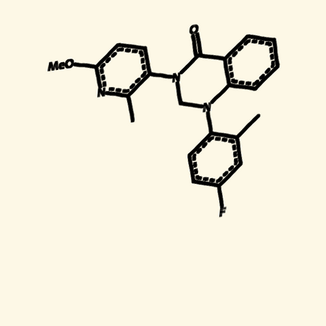 COc1ccc(N2CN(c3ccc(F)cc3C)c3ccccc3C2=O)c(C)n1